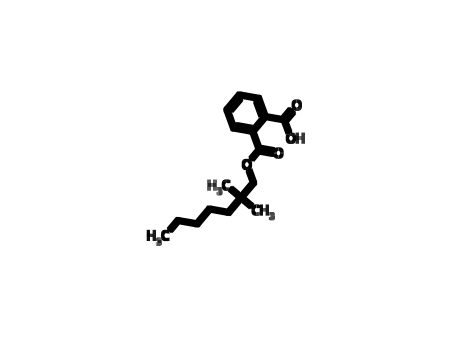 CCCCCC(C)(C)COC(=O)c1ccccc1C(=O)O